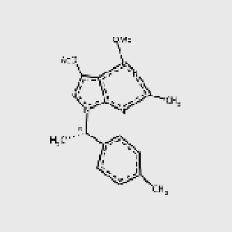 COc1nc(C)nc2c1c(OC(C)=O)nn2[C@@H](C)c1ccc(C)cc1